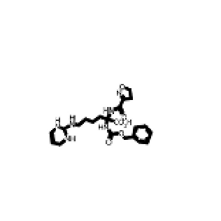 O=C(NC(CCCCNC1NC=CCN1)(NC(=O)C1=NOCC1)C(=O)O)OCc1ccccc1